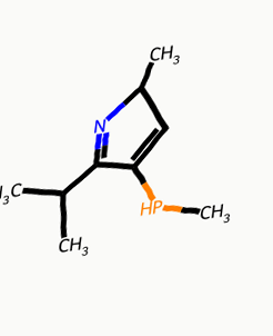 CPC1=CC(C)N=C1C(C)C